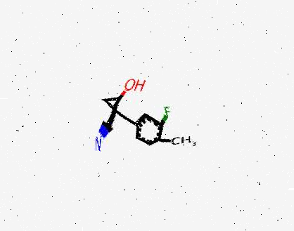 Cc1ccc(C2(C#N)CC2O)cc1F